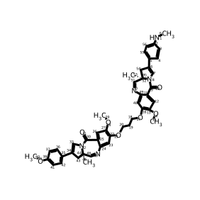 CNc1ccc(C2=CN3C(=O)c4cc(OC)c(OCCCOc5cc6c(cc5OC)C(=O)N5C=C(c7ccc(OC)cc7)C[C@]5(C)C=N6)cc4N=C[C@@]3(C)C2)cc1